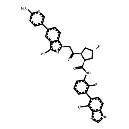 CC(=O)c1nn(CC(=O)N2C[C@H](F)C[C@H]2C(=O)Nc2cccc(-c3ccc4[nH]cnc4c3Cl)c2F)c2ccc(-c3cnc(C)nc3)cc12